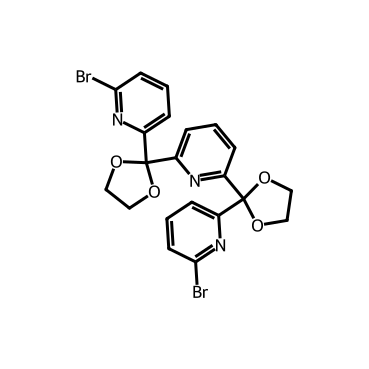 Brc1cccc(C2(c3cccc(C4(c5cccc(Br)n5)OCCO4)n3)OCCO2)n1